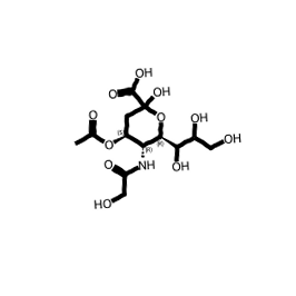 CC(=O)O[C@H]1CC(O)(C(=O)O)O[C@@H](C(O)C(O)CO)[C@@H]1NC(=O)CO